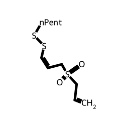 C=CCS(=O)(=O)C/C=C\SSCCCCC